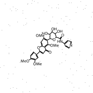 COc1ccc(-c2cc(=O)c3c(OC)c(C4OC(C(=O)Nc5ccncc5)C(O)C(O)C4O)c(OC)cc3o2)cc1OC